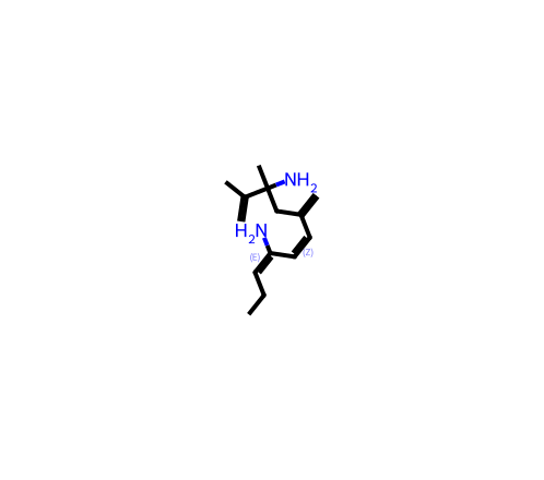 C=C(/C=C\C(N)=C/CC)CC(C)(N)C(=C)C